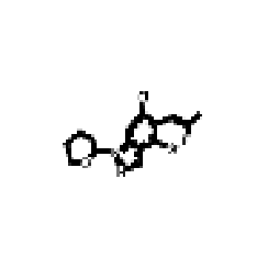 CC(F)=Cc1c(Cl)cc2c(cnn2C2CCCCO2)c1Br